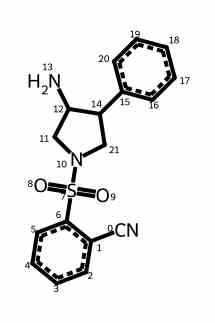 N#Cc1ccccc1S(=O)(=O)N1CC(N)C(c2ccccc2)C1